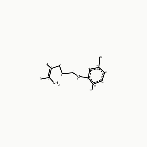 CC(N)=C(C)CCCOc1cc(C)ccc1C